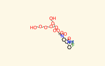 O=C(OC[C@@H]1CN(c2ccc3cc(-c4ccccc4C(F)(F)F)[nH]c(=O)c3c2)C(=O)O1)OC(COCCO)COCCOCCOCCO